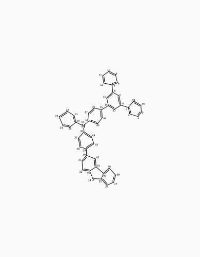 c1ccc(-c2cc(-c3ccccc3)cc(-c3ccc(N(c4ccccc4)c4ccc(-c5ccc6sc7ccccc7c6c5)cc4)cc3)c2)cc1